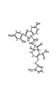 Cn1nnnc1SCC1=C(C(=O)O)N2C(=O)C(NC(=O)C(NC(=O)c3ccc(O)cc3O)c3ccc(O)cc3)[C@H]2SC1